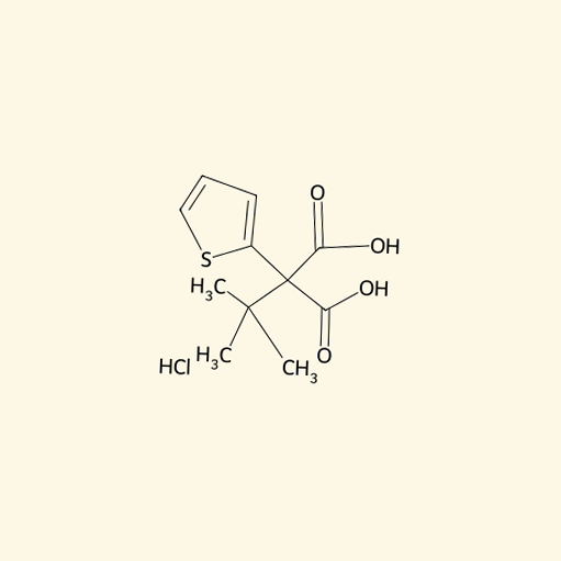 CC(C)(C)C(C(=O)O)(C(=O)O)c1cccs1.Cl